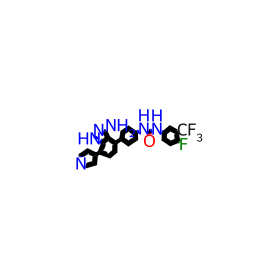 Nc1n[nH]c2c(-c3ccncc3)ccc(-c3ccc(NC(=O)Nc4ccc(F)c(C(F)(F)F)c4)cc3)c12